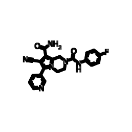 N#Cc1c(C(N)=O)c2n(c1-c1cccnc1)CCN(C(=O)Nc1ccc(F)cc1)C2